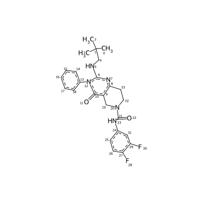 CC(C)(C)CNc1nc2c(c(=O)n1-c1ccccc1)CN(C(=O)Nc1ccc(F)c(F)c1)CC2